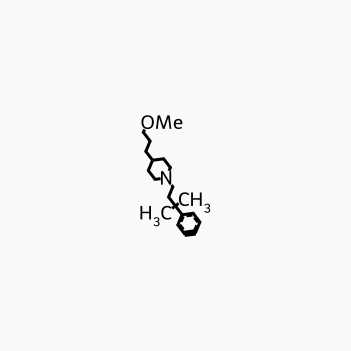 COCCCC1CCN(CCC(C)(C)c2cc#ccc2)CC1